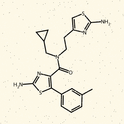 Cc1cccc(-c2sc(N)nc2C(=O)N(CCc2csc(N)n2)CC2CC2)c1